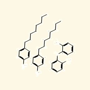 CCCCCCCCc1ccc(O)cc1.CCCCCCCCc1ccc(O)cc1.Oc1ccccc1Sc1ccccc1O